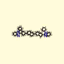 c1ccc(-n2c(-c3ccc4cc(-c5ccc6cc(-c7ccc8c(c7)c7ccccc7n7c9ccccc9nc87)ccc6c5)ccc4c3)nc3ccccc32)cc1